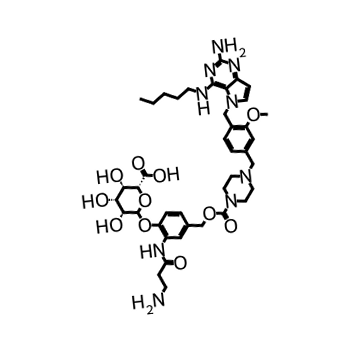 CCCCCNc1nc(N)nc2ccn(Cc3ccc(CN4CCN(C(=O)OCc5ccc(OC6O[C@@H](C(=O)O)[C@@H](O)[C@@H](O)[C@H]6O)c(NC(=O)CCN)c5)CC4)cc3OC)c12